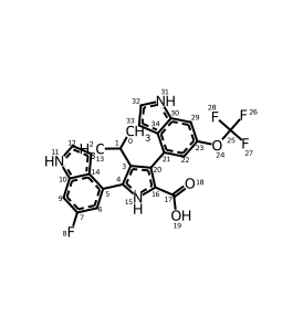 CC(C)c1c(-c2cc(F)cc3[nH]ccc23)[nH]c(C(=O)O)c1-c1cc(OC(F)(F)F)cc2[nH]ccc12